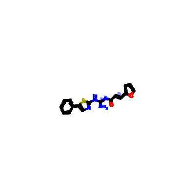 N/C(=N\C(=O)/C=C/c1ccco1)Nc1ncc(-c2ccccc2)s1